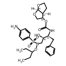 CCC(CC)ON(C[C@@H](O)[C@H](Cc1ccccc1)NC(=O)O[C@H]1CO[C@H]2OCC[C@H]21)S(=O)(=O)c1ccc(N)cc1